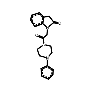 O=C(CN1C(=O)Cc2ccccc21)N1CCN(c2ccccc2)CC1